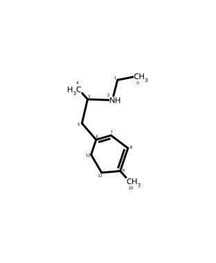 CCNC(C)CC1=CC=C(C)CC1